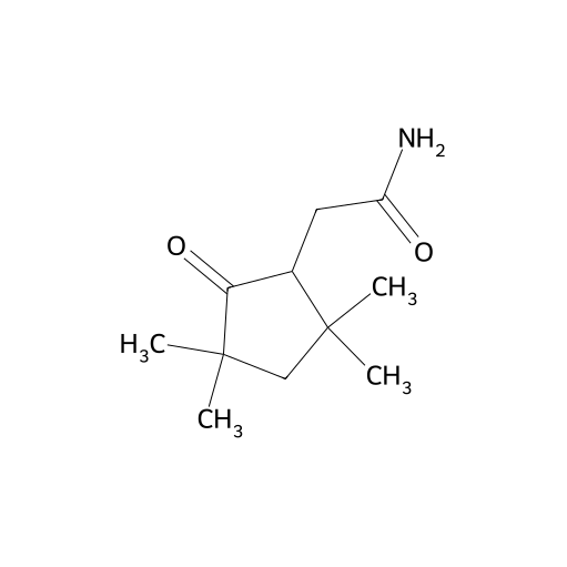 CC1(C)CC(C)(C)C(CC(N)=O)C1=O